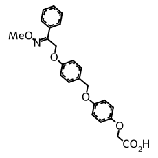 CON=C(COc1ccc(COc2ccc(OCC(=O)O)cc2)cc1)c1ccccc1